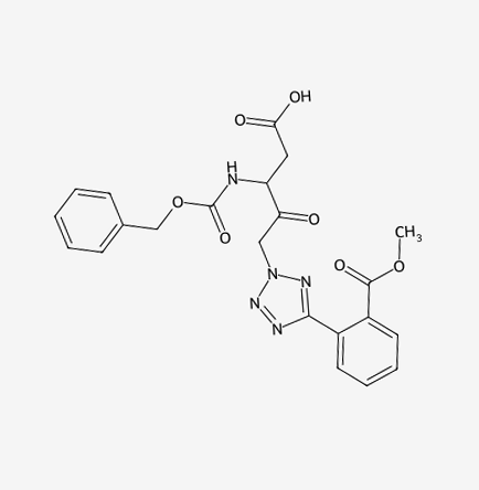 COC(=O)c1ccccc1-c1nnn(CC(=O)C(CC(=O)O)NC(=O)OCc2ccccc2)n1